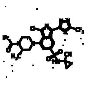 CC(C)C(=O)N1CCN(c2cc(S(=O)(=O)NC3(C#N)CC3)cn3c(-c4nnc(C(F)(F)F)s4)nc(Cl)c23)C[C@H]1C